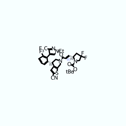 CCn1cc(-c2c(F)cccc2[C@@H]2CN(C(=O)/C=C/[C@@H]3CC(F)(F)CN3C(=O)OC(C)(C)C)Cc3sc(C#N)cc32)c(C(F)(F)F)n1